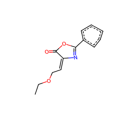 CCOCC=C1N=C(c2ccccc2)OC1=O